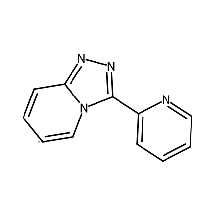 [c]1ccc2nnc(-c3ccccn3)n2c1